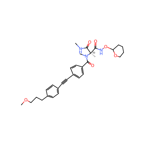 CNC(=O)[C@@](C)(C(=O)NOC1CCCCO1)N(C)C(=O)c1ccc(C#Cc2ccc(CCCOC)cc2)cc1